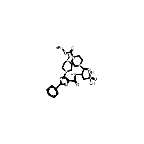 CCCCOC(=O)N1CCN(C(=O)C(CP(=O)(O)O)NC(=O)c2nc(-c3ccccc3)sc2N2CCN(C)CC2)CC1